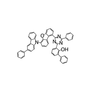 Oc1c(-c2ccccc2)cccc1-c1nc(-c2ccccc2)nc(-c2cccc3oc4c(-n5c6ccccc6c6cc(-c7ccccc7)ccc65)cccc4c23)n1